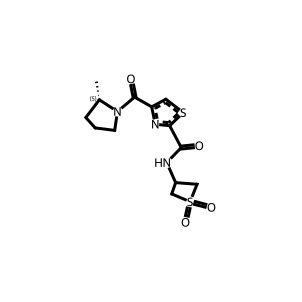 C[C@H]1CCCN1C(=O)c1csc(C(=O)NC2CS(=O)(=O)C2)n1